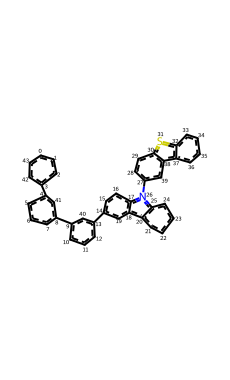 c1ccc(-c2cccc(-c3cccc(-c4ccc5c(c4)c4ccccc4n5-c4ccc5sc6ccccc6c5c4)c3)c2)cc1